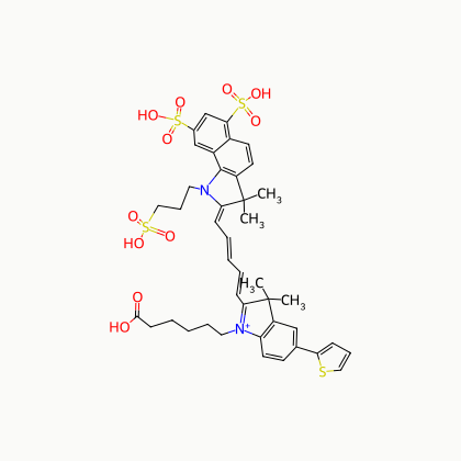 CC1(C)C(/C=C/C=C/C=C2/N(CCCS(=O)(=O)O)c3c(ccc4c(S(=O)(=O)O)cc(S(=O)(=O)O)cc34)C2(C)C)=[N+](CCCCCC(=O)O)c2ccc(-c3cccs3)cc21